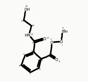 CC(C)(C)OOC(=O)c1ccccc1C(=O)NCCO